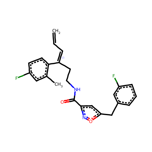 C=C/C=C(/CCNC(=O)c1cc(Cc2cccc(F)c2)on1)c1ccc(F)cc1C